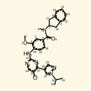 COc1cc(C(=O)N(C)C2Cc3ccccc3C2)ccc1Nc1ncc(Cl)c(-c2cnn(C(C)C)c2)n1